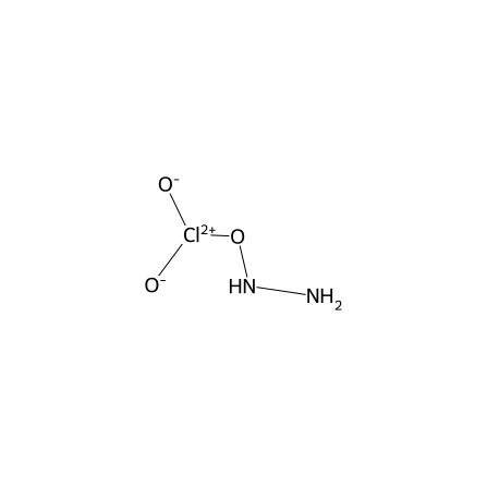 NNO[Cl+2]([O-])[O-]